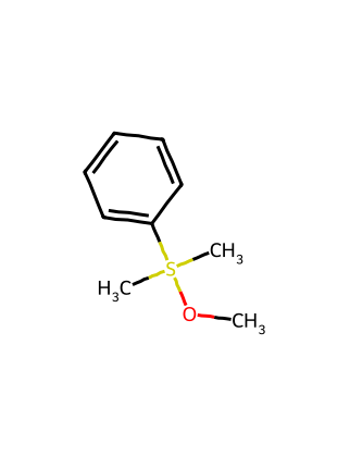 COS(C)(C)c1ccccc1